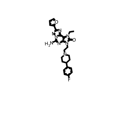 CCn1c(=O)n(CCN2CCC(c3ccc(F)cc3)CC2)c2nc(N)n3nc(-c4ccco4)nc3c21